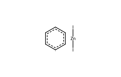 [I][Zn][I].[c]1ccccc1